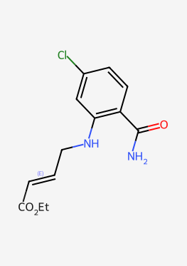 CCOC(=O)/C=C/CNc1cc(Cl)ccc1C(N)=O